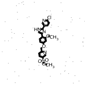 COc1cc(OCc2ccc(S(=O)(=O)OC)cn2)ccc1-c1c[nH]c(-c2ccc(Cl)nc2)n1